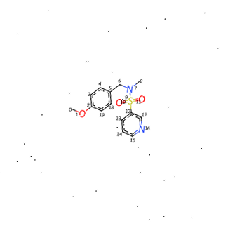 COc1ccc(CN(C)S(=O)(=O)c2cccnc2)cc1